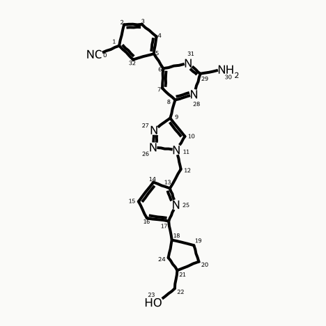 N#Cc1cccc(-c2cc(-c3cn(Cc4cccc(C5CCC(CO)C5)n4)nn3)nc(N)n2)c1